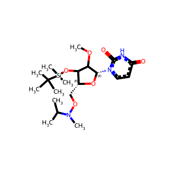 COC1C(O[Si](C)(C)C(C)(C)C)[C@@H](CON(C)C(C)C)O[C@H]1n1ccc(=O)[nH]c1=O